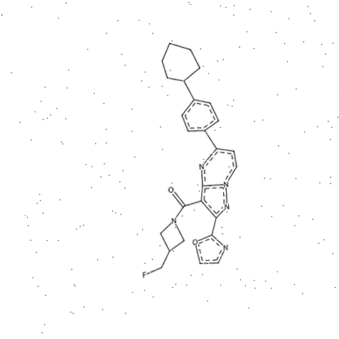 O=C(c1c(-c2ncco2)nn2ccc(-c3ccc(C4CCCCC4)cc3)nc12)N1CC(CF)C1